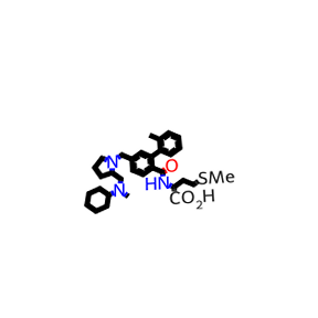 CSCCC(NC(=O)c1ccc(CN2CCCC2CN(C)C2CCCCC2)cc1-c1ccccc1C)C(=O)O